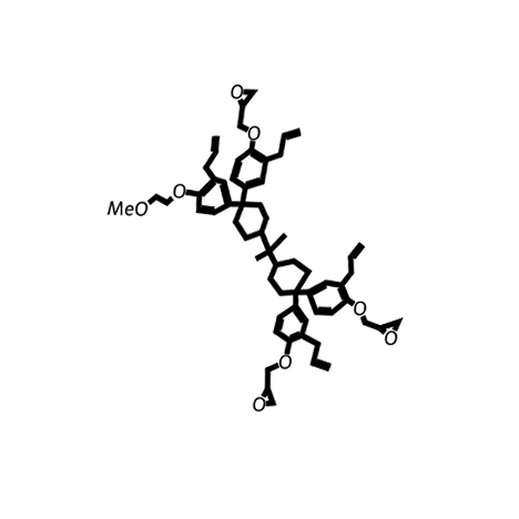 C=CCc1cc(C2(c3ccc(OCC4CO4)c(CC=C)c3)CCC(C(C)(C)C3CCC(c4ccc(OCC5CO5)c(CC=C)c4)(c4ccc(OCC5CO5)c(CC=C)c4)CC3)CC2)ccc1OCCOC